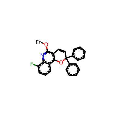 CCOc1nc2c(F)cccc2c2c1C=CC(c1ccccc1)(c1ccccc1)O2